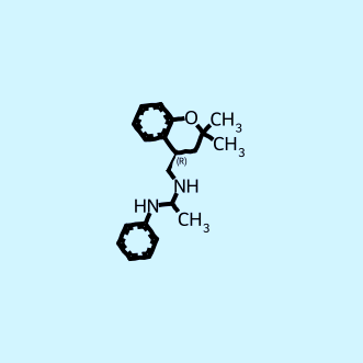 CC(NC[C@@H]1CC(C)(C)Oc2ccccc21)Nc1ccccc1